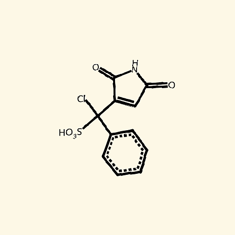 O=C1C=C(C(Cl)(c2ccccc2)S(=O)(=O)O)C(=O)N1